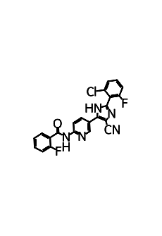 N#Cc1nc(-c2c(F)cccc2Cl)[nH]c1-c1ccc(NC(=O)c2ccccc2F)nc1